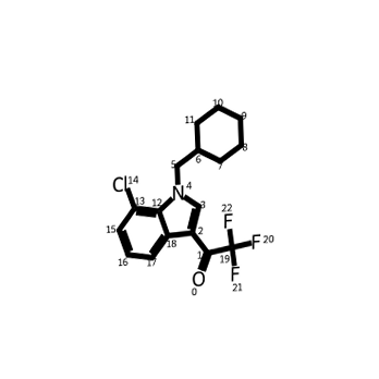 O=C(c1cn(CC2CCCCC2)c2c(Cl)cccc12)C(F)(F)F